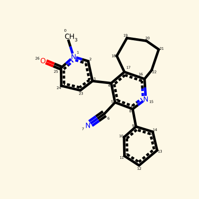 Cn1cc(-c2c(C#N)c(-c3ccccc3)nc3c2CCCCC3)ccc1=O